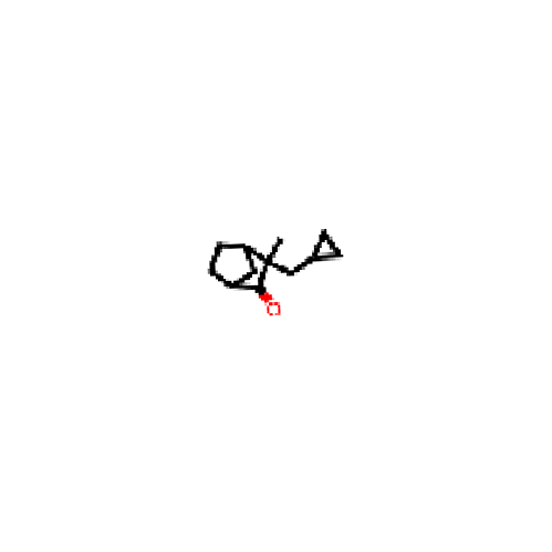 CC1(CC2CC2)C(=O)C2CCC1C2